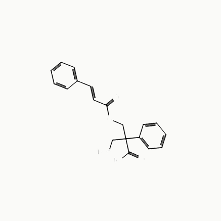 CCC(COC(=O)C=Cc1ccccc1)(C(=O)O)c1ccccc1